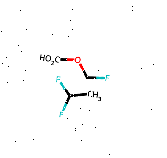 CC(F)F.O=C(O)OCF